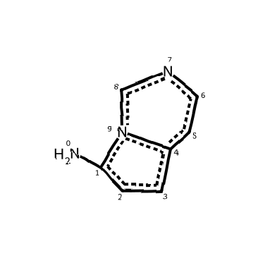 Nc1ccc2ccncn12